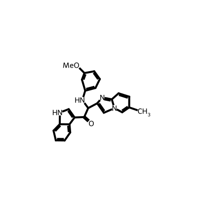 COc1cccc(NC(C(=O)c2c[nH]c3ccccc23)c2cn3cc(C)ccc3n2)c1